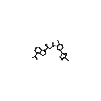 C=C(C)c1cccc2c1CCN2C(=O)CNc1cc(-c2nc(C)ns2)ccc1C